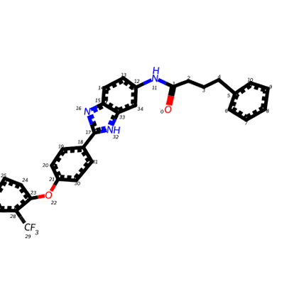 O=C(CCCc1ccccc1)Nc1ccc2nc(-c3ccc(Oc4ccccc4C(F)(F)F)cc3)[nH]c2c1